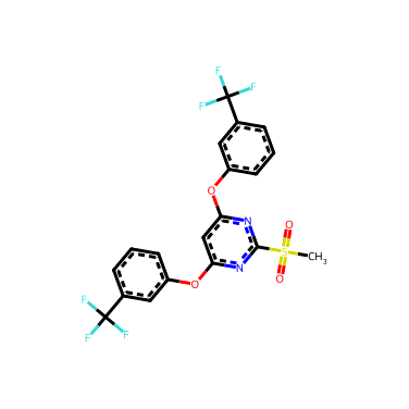 CS(=O)(=O)c1nc(Oc2cccc(C(F)(F)F)c2)cc(Oc2cccc(C(F)(F)F)c2)n1